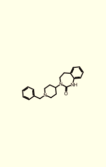 O=C1Nc2ccccc2CCN1C1CCN(Cc2ccccc2)CC1